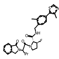 Cc1cc(-c2scnc2C)ccc1CNC(=O)[C@@H]1[C@@H](F)CCN1C(=O)C(C(C)C)N1Cc2ccccc2C1=O